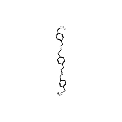 C=Cc1ccc(CSCCc2ccc(CCSCc3ccc(CC)cc3)cc2)cc1